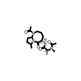 CC(=O)N1CCC[C@H](NC(=O)[C@H](C)N(C)C(C)=O)C(=O)N2C(C)CCC12